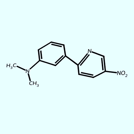 CN(C)c1cccc(-c2ccc([N+](=O)[O-])cn2)c1